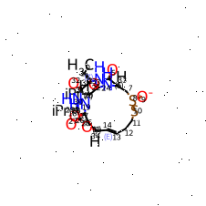 C/C=C1\NC(=O)[C@H]2C[S+]([O-])SCC/C=C/[C@H](CC(=O)N[C@H](C(C)C)C(=O)N2)OC(=O)[C@H](C(C)C)NC1=O